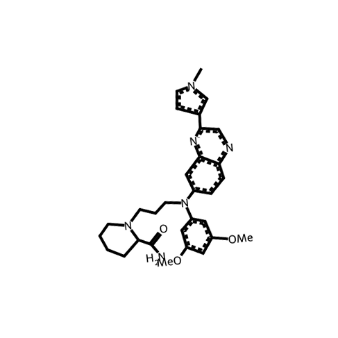 COc1cc(OC)cc(N(CCCN2CCCCC2C(N)=O)c2ccc3ncc(-c4ccn(C)c4)nc3c2)c1